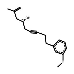 C=C(C)C[C@@H](O)CC#CCCc1cccc(OC)c1